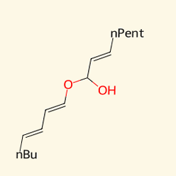 CCCCC=CC=COC(O)C=CCCCCC